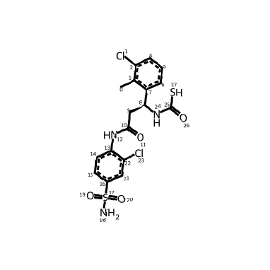 Cc1c(Cl)cccc1[C@H](CC(=O)Nc1ccc(S(N)(=O)=O)cc1Cl)NC(=O)S